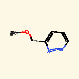 CC(C)OCc1cccnn1